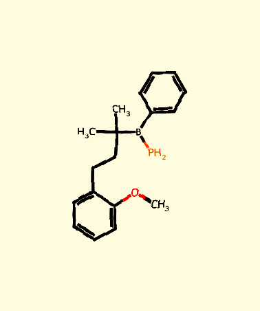 COc1ccccc1CCC(C)(C)B(P)c1ccccc1